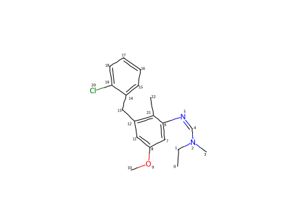 CCN(C)/C=N\c1cc(OC)cc(Cc2ccccc2Cl)c1C